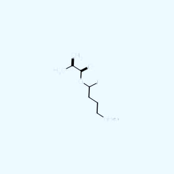 C=C(C)C(=O)OC(F)CCCCCCCCC